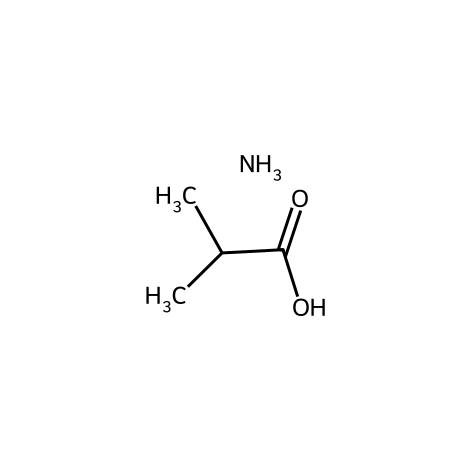 CC(C)C(=O)O.N